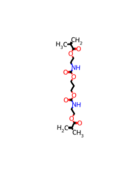 C=C(C)C(=O)OCCNC(=O)OCCCOC(=O)NCCOC(=O)C(=C)C